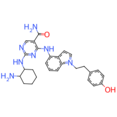 NC(=O)c1cnc(NC2CCCCC2N)nc1Nc1cccc2c1ccn2CCc1ccc(O)cc1